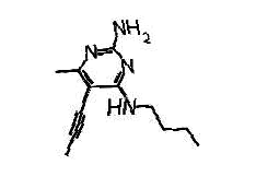 CC#Cc1c(C)nc(N)nc1NCCCC